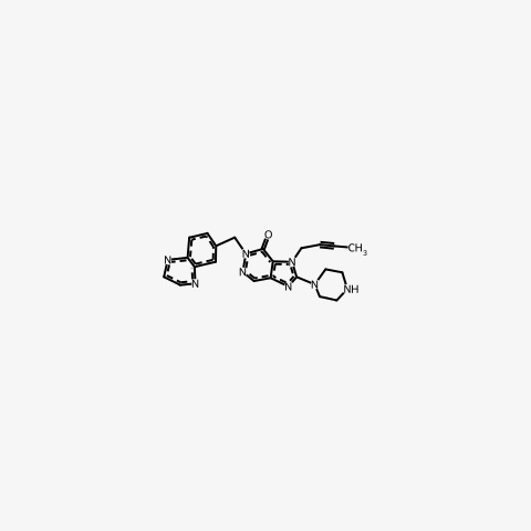 CC#CCn1c(N2CCNCC2)nc2cnn(Cc3ccc4nccnc4c3)c(=O)c21